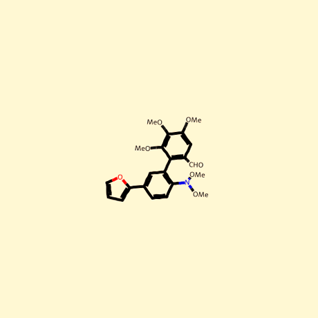 COc1cc(C=O)c(-c2cc(-c3ccco3)ccc2N(OC)OC)c(OC)c1OC